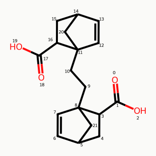 O=C(O)C1CC2C=CC1(CCC13C=CC(CC1C(=O)O)C3)C2